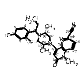 CCC(c1ccc(F)cc1F)N1C[C@H](C)N(c2cc(=O)n(C)c3ccc(C#N)nc23)C[C@H]1C